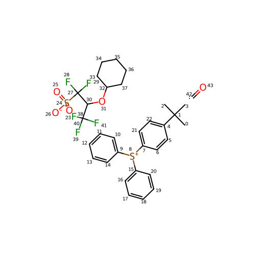 CC(C)(C)c1ccc([S+](c2ccccc2)c2ccccc2)cc1.O=S(=O)([O-])C(F)(F)C(OC1CCCCC1)C(F)(F)F.[C]=O